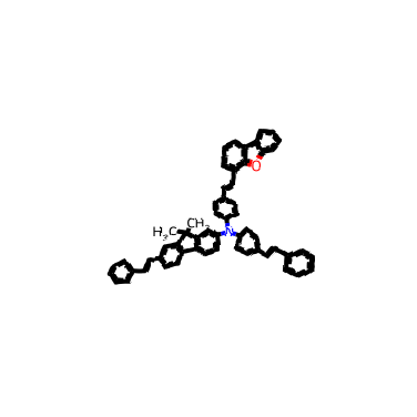 CC1(C)c2cc(/C=C/c3ccccc3)ccc2-c2ccc(N(c3ccc(/C=C/c4ccccc4)cc3)c3ccc(/C=C/c4cccc5c4oc4ccccc45)cc3)cc21